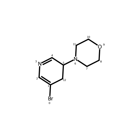 BrC1=CN=CC(N2CCOCC2)C1